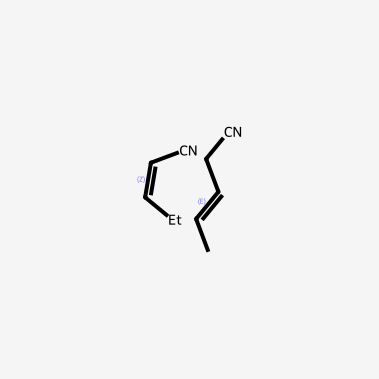 C/C=C/CC#N.CC/C=C\C#N